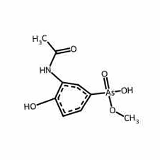 CO[As](=O)(O)c1ccc(O)c(NC(C)=O)c1